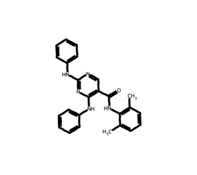 Cc1cccc(C)c1NC(=O)c1cnc(Nc2ccccc2)nc1Nc1ccccc1